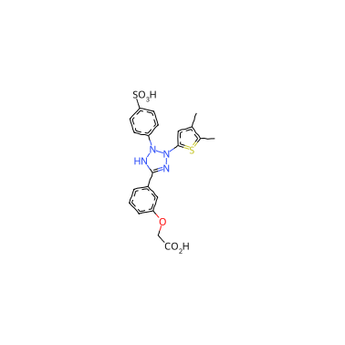 Cc1cc(N2N=C(c3cccc(OCC(=O)O)c3)NN2c2ccc(S(=O)(=O)O)cc2)sc1C